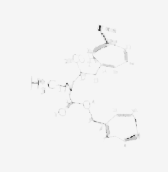 CN(C(=O)OCc1ccccc1)C(Cc1cccc(I)c1)C(=O)O